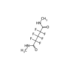 CNC(=O)C(F)(F)C(F)(F)C(F)(F)C(=O)NC